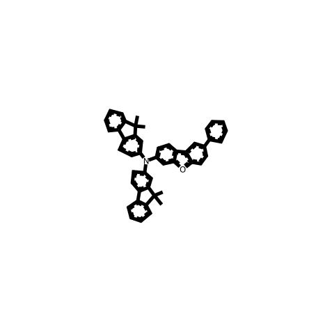 CC1(C)c2ccccc2-c2ccc(N(c3ccc4c(c3)C(C)(C)c3ccccc3-4)c3ccc4c(c3)oc3ccc(-c5ccccc5)cc34)cc21